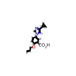 C=CCOc1ccc(-n2cnc(C3CC3)c2)cc1C(=O)O